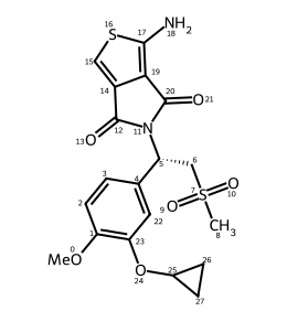 COc1ccc([C@@H](CS(C)(=O)=O)N2C(=O)c3csc(N)c3C2=O)cc1OC1CC1